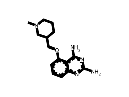 CN1CCCC(COc2cccc3nc(N)nc(N)c23)C1